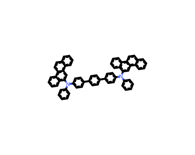 c1ccc(N(c2ccc(-c3ccc(-c4ccc(N(c5ccccc5)c5cc6c7ccccc7ccc6c6ccccc56)cc4)cc3)cc2)c2cc3c4ccccc4ccc3c3ccccc23)cc1